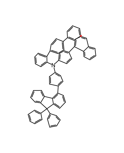 c1ccc(-c2ccc(-c3ccccc3N(c3ccc(-c4cccc5c4-c4ccccc4C5(c4ccccc4)c4ccccc4)cc3)c3ccc(-c4cccc5ccccc45)cc3)cc2)cc1